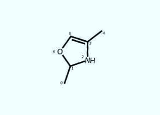 C[C]1NC(C)=CO1